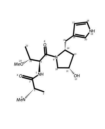 CN[C@@H](C)C(=O)N[C@H](C(=O)N1C[C@@H](O)C[C@H]1Cc1cc[nH]c1)[C@@H](C)OC